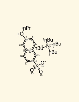 CCCC[N+](CCCC)(CCCC)CCCC.CCCOc1ccc2cc(S(=O)(=O)[O-])ccc2c1